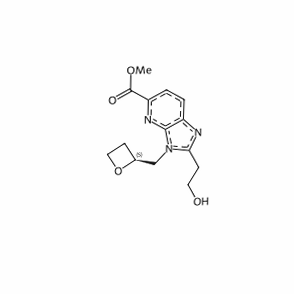 COC(=O)c1ccc2nc(CCO)n(C[C@@H]3CCO3)c2n1